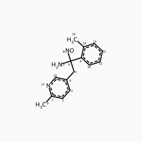 Cc1ccc(CC(N)(N=O)c2ccccc2C)cn1